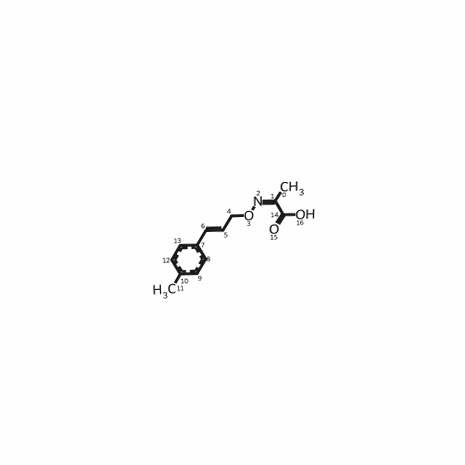 CC(=NOCC=Cc1ccc(C)cc1)C(=O)O